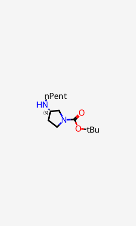 CCCCCN[C@H]1CCN(C(=O)OC(C)(C)C)C1